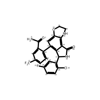 NC(=O)c1cc(C(F)(F)F)cc(F)c1-c1cc2c(c3c1C(c1cc(F)ccc1Cl)NC3=O)NCCO2